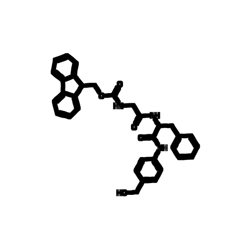 O=C(CNC(=O)OCC1c2ccccc2-c2ccccc21)NC(Cc1ccccc1)C(=O)Nc1ccc(CO)cc1